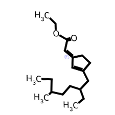 CCOC(=O)/C=C1/C=C(CC(CC)CCC(C)CC)CC1